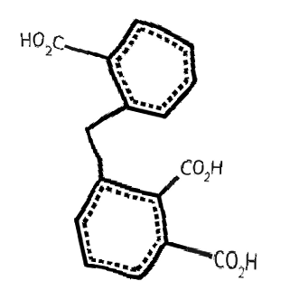 O=C(O)c1ccccc1Cc1cccc(C(=O)O)c1C(=O)O